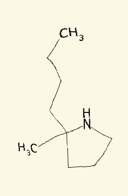 CCCCC1(C)CCCN1